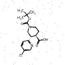 CC(C)(C)OC(=O)N1CC[C@@H](C(=O)O)[C@H](c2ccc(Cl)cn2)C1